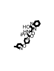 Cc1ccc(OC2CCN(C(=O)[C@@H](NC(=O)c3nc4ccccc4nc3O)C(C)C)CC2)nc1